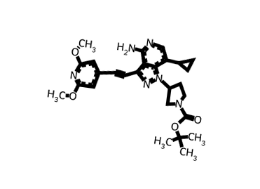 COc1cc(C#Cc2nn(C3CCN(C(=O)OC(C)(C)C)C3)c3c(C4CC4)cnc(N)c23)cc(OC)n1